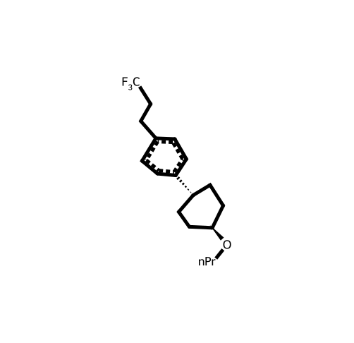 CCCO[C@H]1CC[C@H](c2ccc(CCC(F)(F)F)cc2)CC1